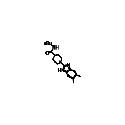 CCCCNC(=O)C1CCN(c2nc3cc(C)c(C)cc3[nH]2)CC1